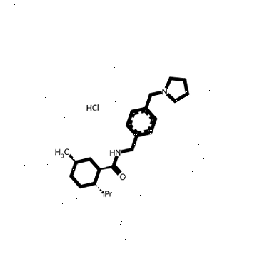 CC(C)[C@@H]1CC[C@@H](C)C[C@H]1C(=O)NCc1ccc(CN2CCCC2)cc1.Cl